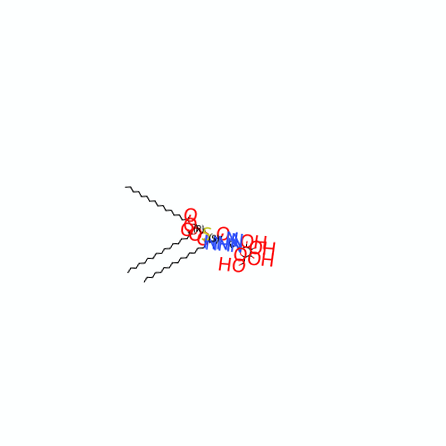 CCCCCCCCCCCCCCCC(=O)N[C@H](CSC[C@@H](COC(=O)CCCCCCCCCCCCCCC)OC(=O)CCCCCCCCCCCCCCC)C(=O)Nc1cn(C2OC(CO)C(O)C(O)C2O)nn1